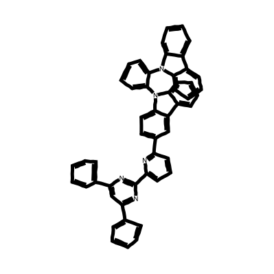 c1ccc(-c2cc(-c3ccccc3)nc(-c3cccc(-c4ccc5c(c4)c4ccccc4n5-c4ccccc4-n4c5ccccc5c5ccccc54)n3)n2)cc1